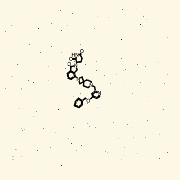 O=C1CCC(N2Cc3c(cccc3N3CC4(CCN(Cc5cc(OCc6ccccc6)ccn5)CC4)C3)C2=O)C(=O)N1